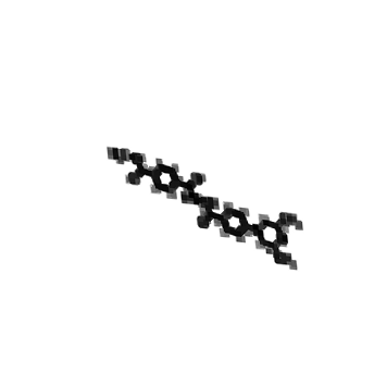 COC(=O)c1ccc(C(=O)NNC(=O)c2ccc(N3CC(C)OC(C)C3)cc2)cc1